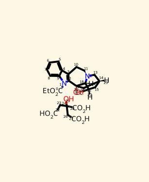 CCOC(=O)n1c2c(c3ccccc31)CC[N@@]1C[C@@H]3C[C@H](CC)[C@H]1[C@@]2(O)C3.O=C(O)CC(O)(CC(=O)O)C(=O)O